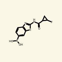 O=C(Nc1nc2ccc(B(O)O)cc2s1)C1CC1F